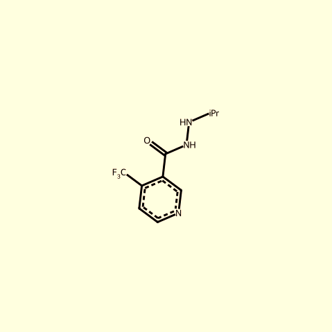 CC(C)NNC(=O)c1cnccc1C(F)(F)F